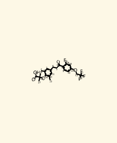 Cc1cc(CCC(=O)c2ccc(OCC(F)(F)F)cc2F)cc(C)c1OC(C)(C)C(=O)O